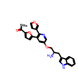 CNC(=O)c1ccc(-c2cc(OC[C@H](N)Cc3c[nH]c4ccccc34)cnc2-c2ccoc2)o1